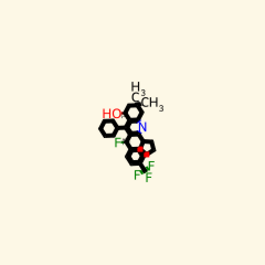 CC1(C)Cc2nc(C3CCCC3)c([C@H](F)c3ccc(C(F)(F)F)cc3)c(C3CCCCC3)c2[C@@H](O)C1